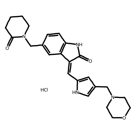 Cl.O=C1Nc2ccc(CN3CCCCC3=O)cc2/C1=C/c1cc(CN2CCOCC2)c[nH]1